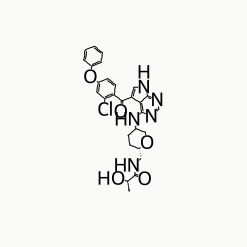 C[C@@H](O)C(=O)NC[C@@H]1CC[C@@H](Nc2ncnc3[nH]cc(C(=O)c4ccc(Oc5ccccc5)cc4Cl)c23)CO1